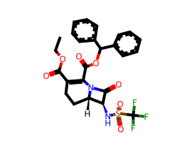 CCOC(=O)C1=C(C(=O)OC(c2ccccc2)c2ccccc2)N2C(=O)[C@@H](NS(=O)(=O)C(F)(F)F)[C@@H]2CC1